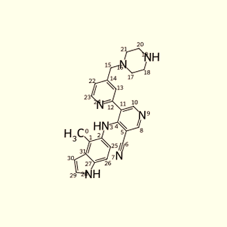 Cc1c(Nc2c(C#N)cncc2-c2cc(CN3CCNCC3)ccn2)ccc2[nH]ccc12